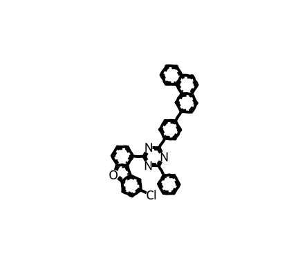 Clc1ccc2oc3cccc(-c4nc(-c5ccccc5)nc(-c5ccc(-c6ccc7ccc8ccccc8c7c6)cc5)n4)c3c2c1